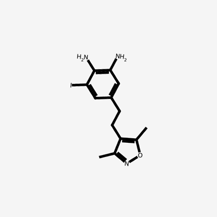 Cc1noc(C)c1CCc1cc(N)c(N)c(I)c1